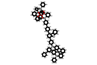 c1ccc(-c2ccc(N(c3ccc(-c4ccc(-c5ccc(-c6ccc(N(c7ccc8c(c7)C7(c9ccccc9-8)c8ccccc8N(c8ccccc8)c8ccccc87)c7ccccc7-c7cccc8c7oc7ccccc78)cc6)cc5)c5c4oc4ccccc45)cc3)c3ccc4c(c3)C3(c5ccccc5-4)c4ccccc4N(c4ccccc4)c4ccccc43)cc2)cc1